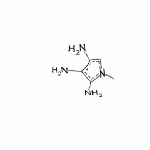 Cn1cc(N)c(N)c1N